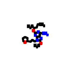 CCC[C@@H](C)Oc1nc(N)c2nc(OC)n(CCCC3CCCCO3)c2n1